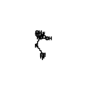 CN(CCCCCCCC(F)(F)C(F)(F)F)CCCCC[C@@H]1Cc2cc(O)cc(F)c2[C@H]2CC[C@@]3(C)[C@@H](CC[C@]3(C)O)[C@H]12